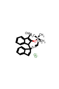 C[CH]=[Zr+2][C]1(C2C(O[Si](C)(C)C)=C(OC)c3ccccc32)C=Cc2ccccc21.[Cl-].[Cl-]